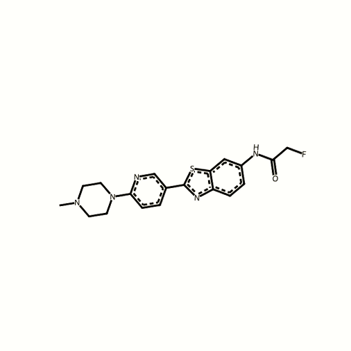 CN1CCN(c2ccc(-c3nc4ccc(NC(=O)CF)cc4s3)cn2)CC1